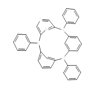 c1ccc(N2c3cccc(c3)N(c3ccccc3)c3cncc(n3)N(c3ccccc3)c3cccc2c3)cc1